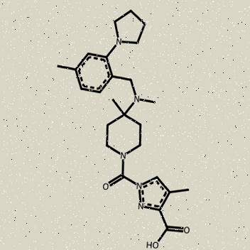 Cc1ccc(CN(C)C2(C)CCN(C(=O)n3cc(C)c(C(=O)O)n3)CC2)c(N2CCCC2)c1